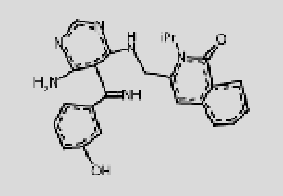 CC(C)n1c(CNc2ncnc(N)c2C(=N)c2cccc(O)c2)cc2ccccc2c1=O